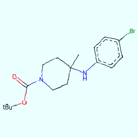 CC1(Nc2ccc(Br)cc2)CCN(C(=O)OC(C)(C)C)CC1